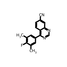 Cc1cc(-c2ncnc3cc(C#N)ccc23)cc(C)c1F